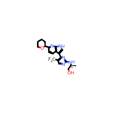 C[C@@H](CO)Nc1ncc(C(F)(F)F)c(-c2c[nH]c3nc(C4CCCCO4)ccc23)n1